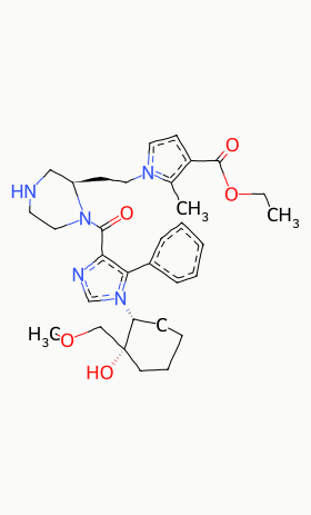 CCOC(=O)c1ccn(CC[C@@H]2CNCCN2C(=O)c2ncn([C@@H]3CCCC[C@@]3(O)COC)c2-c2ccccc2)c1C